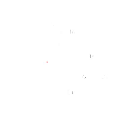 CN1C(=O)C2(CCCCC2)c2c1cnc1c2c(-c2ccccc2)c(Br)n1[S+]([O-])c1ccccc1